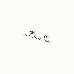 OC(CCl)CSCSCC(O)CCl